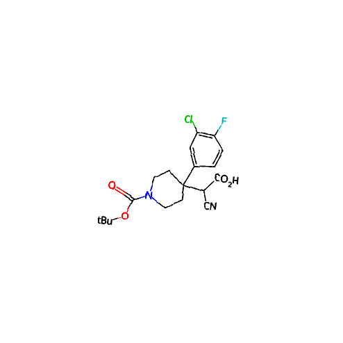 CC(C)(C)OC(=O)N1CCC(c2ccc(F)c(Cl)c2)(C(C#N)C(=O)O)CC1